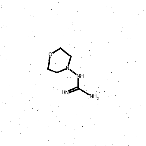 N=C(N)NN1CCOCC1